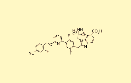 CC(C)(N)Cn1c(Cc2cc(F)c(-c3cccc(OCc4ccc(C#N)cc4F)n3)cc2F)nc2ccc(C(=O)O)cc21